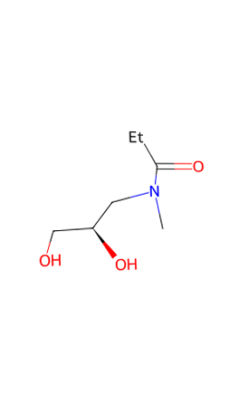 CCC(=O)N(C)C[C@@H](O)CO